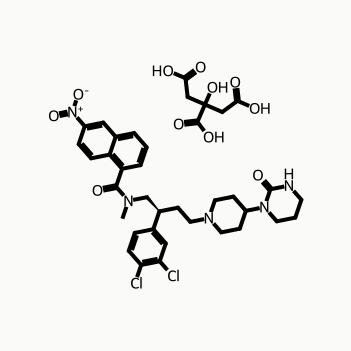 CN(C[C@@H](CCN1CCC(N2CCCNC2=O)CC1)c1ccc(Cl)c(Cl)c1)C(=O)c1cccc2cc([N+](=O)[O-])ccc12.O=C(O)CC(O)(CC(=O)O)C(=O)O